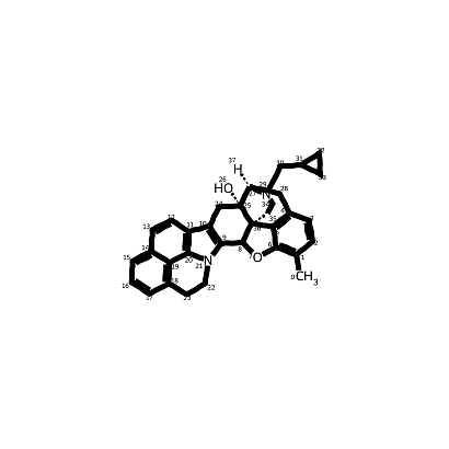 Cc1ccc2c3c1OC1c4c(c5ccc6cccc7c6c5n4CC7)C[C@@]4(O)[C@@H](C2)N(CC2CC2)CC[C@]314